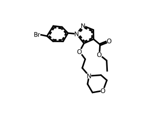 CCOC(=O)c1cnn(-c2ccc(Br)cc2)c1OCCN1CCOCC1